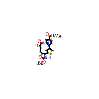 COC(=O)c1ccc2c(c1)NC(=O)[C@H](C)/C=C/CC(NC(=O)OC(C)(C)C)c1cc-2cs1